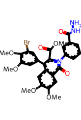 COC(=O)c1c(-c2cc(Br)c(OC)c(OC)c2)c2cc(OC)c(OC)cc2c(=O)n1-c1cccc(C(=O)NN)c1